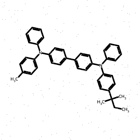 CCC(C)(C)c1ccc(N(c2ccccc2)c2ccc(-c3ccc(N(c4ccccc4)c4ccc(C)cc4)cc3)cc2)cc1